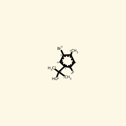 Cc1cc(F)c(C(C)(C)O)cc1Br